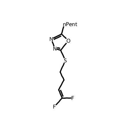 CCCCCc1nnc(SCCC=C(F)F)o1